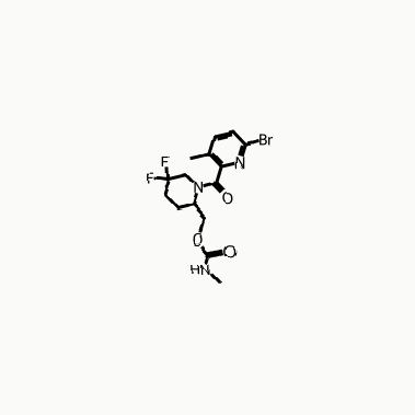 CNC(=O)OCC1CCC(F)(F)CN1C(=O)c1nc(Br)ccc1C